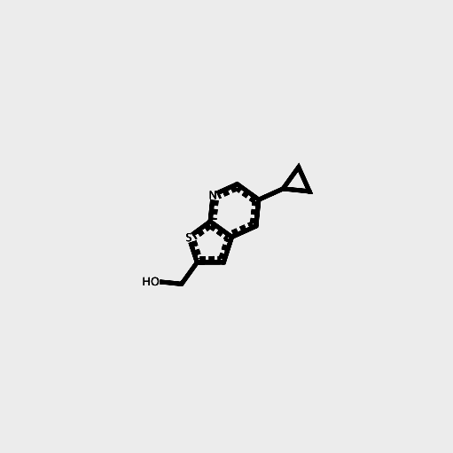 OCc1cc2cc(C3CC3)cnc2s1